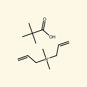 C=CC[N+](C)(C)CC=C.CC(C)(C)C(=O)O